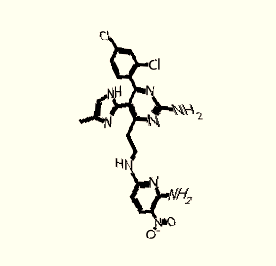 Cc1c[nH]c(-c2c(CCNc3ccc([N+](=O)[O-])c(N)n3)nc(N)nc2-c2ccc(Cl)cc2Cl)n1